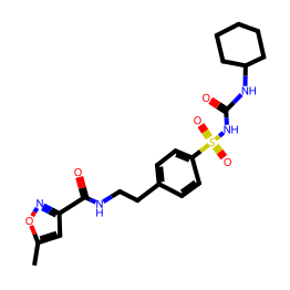 Cc1cc(C(=O)NCCc2ccc(S(=O)(=O)NC(=O)NC3CCCCC3)cc2)no1